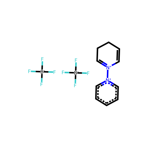 C1=C[N+]([n+]2ccccc2)=CCC1.F[B-](F)(F)F.F[B-](F)(F)F